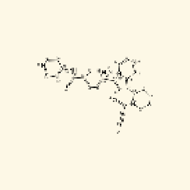 CC#CC(=O)N1CCCCC1C1=C2C=NC=C[N+]2(N)C(c2ccc(C(=O)Nc3ccncn3)cc2)=N1